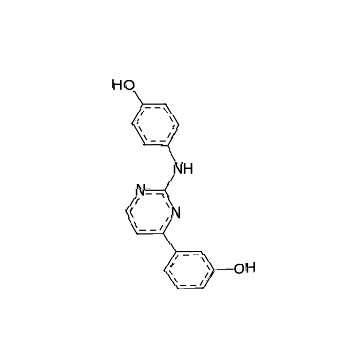 Oc1ccc(Nc2nccc(-c3cccc(O)c3)n2)cc1